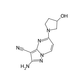 N#Cc1c(N)nn2ccc(N3CCC(O)C3)nc12